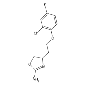 NC1=NC(CCOc2ccc(F)cc2Cl)CO1